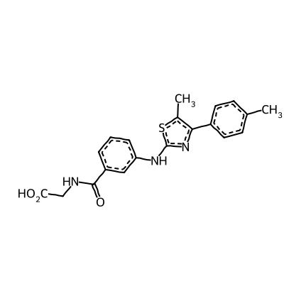 Cc1ccc(-c2nc(Nc3cccc(C(=O)NCC(=O)O)c3)sc2C)cc1